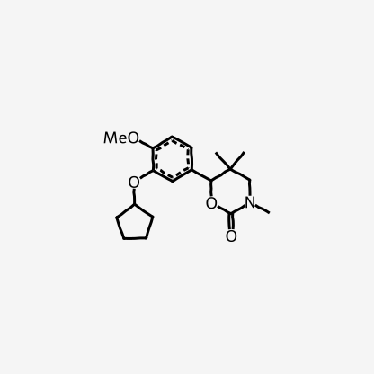 COc1ccc(C2OC(=O)N(C)CC2(C)C)cc1OC1CCCC1